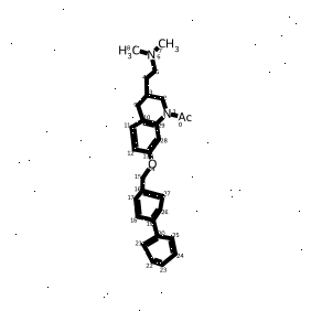 CC(=O)N1CC(CCN(C)C)Cc2ccc(OCc3ccc(-c4ccccc4)cc3)cc21